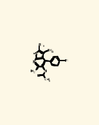 CC(=O)Oc1c(C)nc2[nH]c(C)c(C)c2c1-c1ccc(Cl)cc1